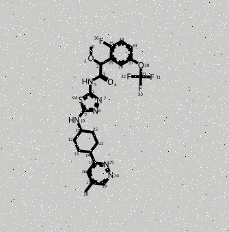 COC(C(=O)Nc1nnc(NC2CCC(c3cc(C)cnn3)CC2)s1)c1cc(OC(F)(F)F)ccc1F